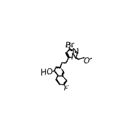 COCCn1nc(Br)cc1CCc1cc(O)c2ccc(F)cc2c1